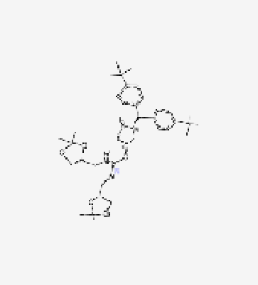 CC1(C)OCC(C/N=C(\NCC2COC(C)(C)O2)O[C@H]2CN[C@@H](C(c3ccc(C(C)(C)C)cc3)c3ccc(C(C)(C)C)cc3)C2)O1